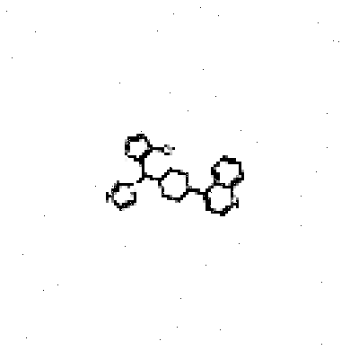 Brc1ccsc1C(C1CCC(c2ccnc3ccccc23)CC1)n1ccnc1